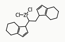 [Cl][Zr]([Cl])[CH](CC1C=CC2=C1CCCC2)C1C=CC2=C1CCCC2